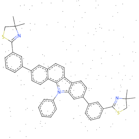 CC1(C)CSC(c2cccc(-c3ccc4c(ccc5c6ccc(-c7cccc(C8=NC(C)(C)CS8)c7)cc6n(-c6ccccc6)c45)c3)c2)=N1